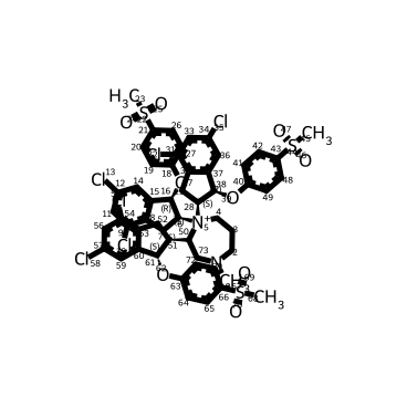 CN1CCC[N+]([C@H]2Cc3c(Cl)cc(Cl)cc3[C@H]2Oc2ccc(S(C)(=O)=O)cc2)([C@H]2Cc3c(Cl)cc(Cl)cc3[C@H]2Oc2ccc(S(C)(=O)=O)cc2)C([C@@H]2Cc3c(Cl)cc(Cl)cc3[C@H]2Oc2ccc(S(C)(=O)=O)cc2)C1